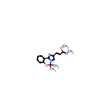 CN=C(C=Cc1cn2c(n1)-c1ccccc1OC2(C)C)OC